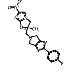 C[C@]1(CN2Cc3nc(-c4ccc(F)cc4)sc3C2)Cn2cc([N+](=O)[O-])nc2O1